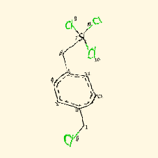 ClCc1ccc(C[Si](Cl)(Cl)Cl)cc1